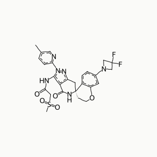 Cc1ccc(-n2nc3c(c2NC(=O)CS(C)(=O)=O)C(=O)N[C@@]2(CCOc4cc(N5CC(F)(F)C5)ccc42)C3)nc1